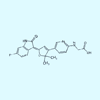 CC1(C)O/C(=C2/C(=O)Nc3cc(F)ccc32)C=C1c1ccc(NCC(=O)O)nc1